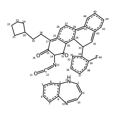 C1=CNc2ccccc2N=C1.O=C=NC1C(=O)C(CCC2CCCC2)=c2ccc3c(c2C1=O)C(c1ccccc1F)C=c1ccccc1=3